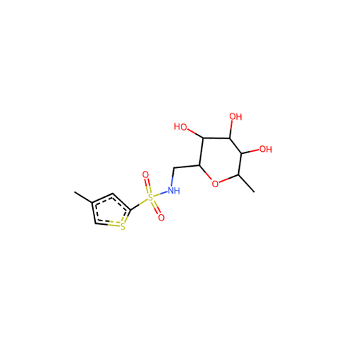 Cc1csc(S(=O)(=O)NCC2OC(C)C(O)C(O)C2O)c1